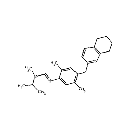 Cc1cc(N=CN(C)C(C)C)c(C)cc1Cc1ccc2c(c1)CCCC2